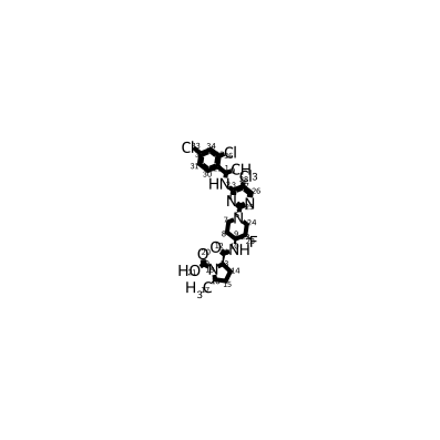 CC(Nc1nc(N2CC[C@H](NC(=O)[C@H]3CC[C@H](C)N3C(=O)O)[C@@H](F)C2)ncc1Cl)c1ccc(Cl)cc1Cl